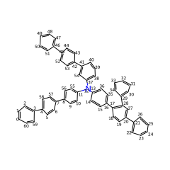 c1ccc(-c2ccc(-c3ccc(N(c4ccc(-c5ccc(-c6ccccc6)cc5-c5ccccc5)cc4)c4cccc(-c5ccc(-c6ccccc6)cc5)c4)cc3)cc2)cc1